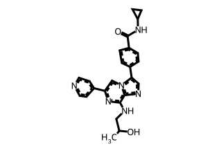 CC(O)CNc1nc(-c2ccncc2)cn2c(-c3ccc(C(=O)NC4CC4)cc3)cnc12